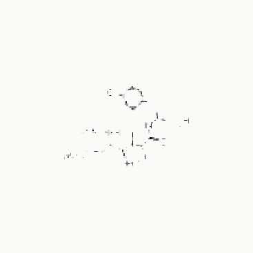 CSCCC(NC=O)C(=O)NC(CC(C)C)C(=O)NC(Cc1ccc(O)cc1)C(=O)O